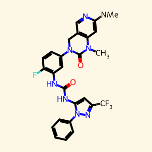 CNc1cc2c(cn1)CN(c1ccc(F)c(NC(=O)Nc3cc(C(F)(F)F)nn3-c3ccccc3)c1)C(=O)N2C